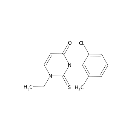 CCn1ccc(=O)n(-c2c(C)cccc2Cl)c1=S